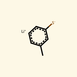 Cc1cccc([S-])c1.[Li+]